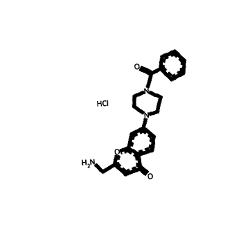 Cl.NCc1cc(=O)c2ccc(N3CCN(C(=O)c4ccccc4)CC3)cc2o1